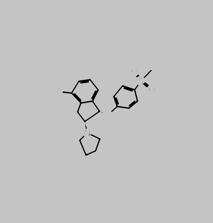 CS(=O)(=O)c1ccc(O[C@H]2c3cccc(F)c3C[C@@H]2N2CCCC2)cc1